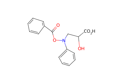 O=C(ON(CC(O)C(=O)O)c1ccccc1)c1ccccc1